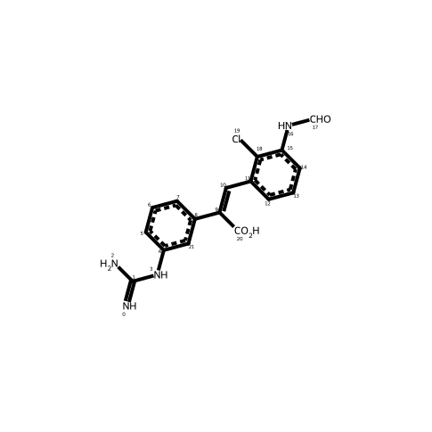 N=C(N)Nc1cccc(C(=Cc2cccc(NC=O)c2Cl)C(=O)O)c1